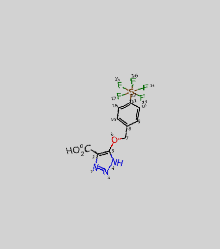 O=C(O)c1nn[nH]c1OCc1ccc(S(F)(F)(F)(F)F)cc1